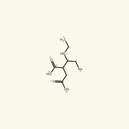 CCNC([CH2][Na])C(CC(=O)O)C(=O)O